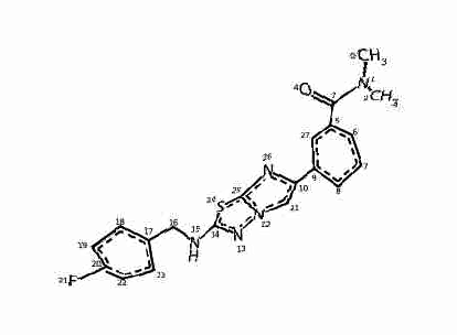 CN(C)C(=O)c1cccc(-c2cn3nc(NCc4ccc(F)cc4)sc3n2)c1